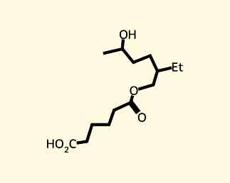 CCC(CCC(C)O)COC(=O)CCCCC(=O)O